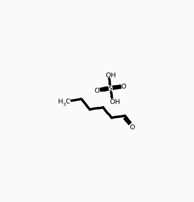 CCCCCC=O.O=S(=O)(O)O